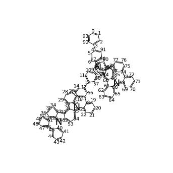 c1ccc(-c2ccc(-n3c4ccc(-c5cccc(-c6ccccc6-n6c7ccccc7c7c8c9ccccc9n(-c9ccccc9-c9ccccc9)c8ccc76)c5)cc4c4c5c6ccccc6n(-c6ccccc6-c6cccc(-c7ccccc7)c6)c5ccc43)cc2)cc1